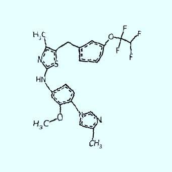 COc1cc(Nc2nc(C)c(Cc3cccc(OC(F)(F)C(F)F)c3)s2)ccc1-n1cnc(C)c1